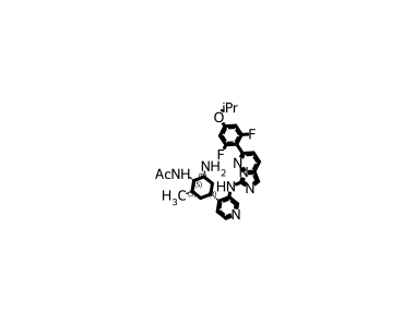 CC(=O)N[C@@H]1[C@H](N)C[C@H](c2ccncc2Nc2ncc3ccc(-c4c(F)cc(OC(C)C)cc4F)nn23)C[C@@H]1C